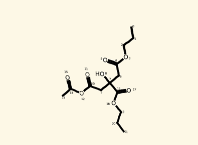 CCCOC(=O)CC(O)(CC(=O)OC(C)=O)C(=O)OCCC